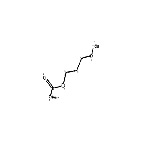 CCCCOCCCOC(=O)OC